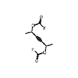 CC(C#CC(C)OC(=O)F)OC(=O)F